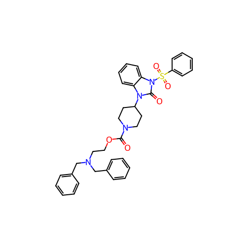 O=C(OCCN(Cc1ccccc1)Cc1ccccc1)N1CCC(n2c(=O)n(S(=O)(=O)c3ccccc3)c3ccccc32)CC1